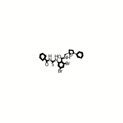 O=C(NC(=S)Nc1cc(Br)cc(Br)c1C(=O)NC[C@H]1CC[C@@H](c2ccccc2)O1)c1ccccc1